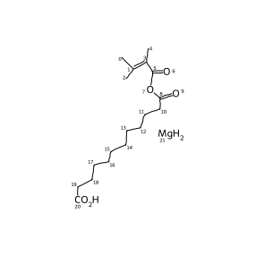 CC(C)=C(C)C(=O)OC(=O)CCCCCCCCCCC(=O)O.[MgH2]